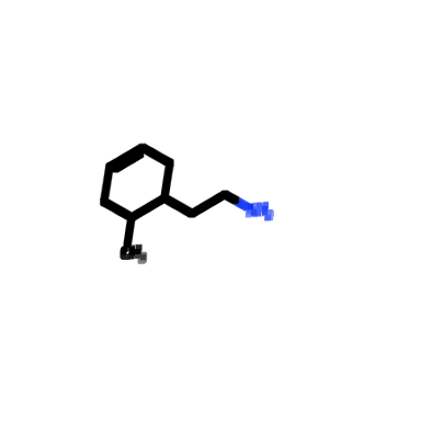 CC1CC=CCC1CCN